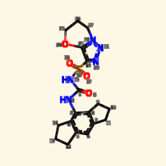 O=C(Nc1c2c(cc3c1CCC3)CCC2)NS(=O)(=O)c1nnn2c1OCCC2